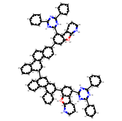 c1ccc(-c2nc(-c3ccccc3)nc(-c3cc(-c4ccc5c(ccc6c7ccccc7c(-c7cc8cc(-c9ccc(-c%10nc(-c%11ccccc%11)nc(-c%11ccccc%11)n%10)c%10c9oc9ncccc9%10)c9ccccc9c8c8ccccc78)cc56)c4)cc4oc5ncccc5c34)n2)cc1